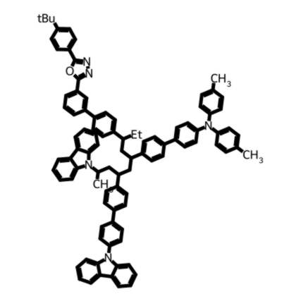 CCC(CC(CC(CC(C)n1c2ccccc2c2ccccc21)c1ccc(-c2ccc(-n3c4ccccc4c4ccccc43)cc2)cc1)c1ccc(-c2ccc(N(c3ccc(C)cc3)c3ccc(C)cc3)cc2)cc1)c1ccc(-c2cccc(-c3nnc(-c4ccc(C(C)(C)C)cc4)o3)c2)cc1